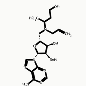 C=CCN(C[C@H]1O[C@@H](n2cnc3c(N)ncnc32)[C@H]([SeH])[C@@H]1O)C(CCS)C(=O)O